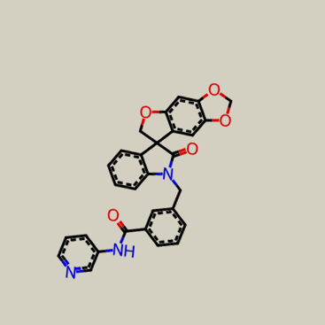 O=C(Nc1cccnc1)c1cccc(CN2C(=O)C3(COc4cc5c(cc43)OCO5)c3ccccc32)c1